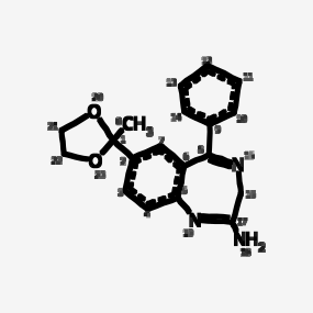 CC1(c2ccc3c(c2)C(c2ccccc2)=NCC(N)=N3)OCCO1